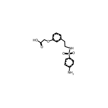 Nc1ccc(S(=O)(=O)NCCc2cccc(OCC(=O)O)c2)cc1